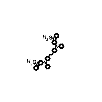 Cn1c2ccccc2c2cc(N(c3ccccc3)c3ccc(/C=C/c4ccc(N(c5ccccc5)c5ccc6c(c5)c5ccccc5n6C)cc4)cc3)ccc21